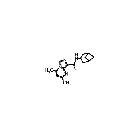 Cc1cc(C)n2cnc(C(=O)NC3CC4CC(C4)C3)c2n1